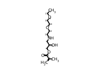 C=C(C)C(=O)OCC(O)CNCCOCCOCC